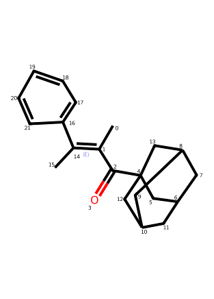 C/C(C(=O)C12CC3CC(CC(C3)C1)C2)=C(/C)c1ccccc1